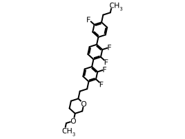 CCCc1ccc(-c2ccc(-c3ccc(CCC4CCC(OCC)CO4)c(F)c3F)c(F)c2F)cc1F